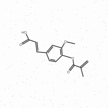 C=C(C)C(=O)Oc1ccc(C=CC(=O)O)cc1OC